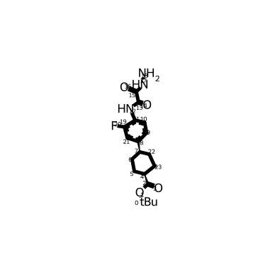 CC(C)(C)OC(=O)[C@H]1CC[C@@H](c2ccc(NC(=O)C(=O)NN)c(F)c2)CC1